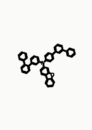 c1ccc(-c2cccc(-c3ccc(N(c4cccc(-c5ccccc5-c5ccccc5)c4)c4ccc5c(c4)oc4ccccc45)cc3)c2)cc1